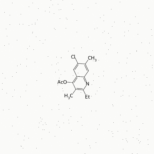 CCc1nc2cc(C)c(Cl)cc2c(OC(C)=O)c1C